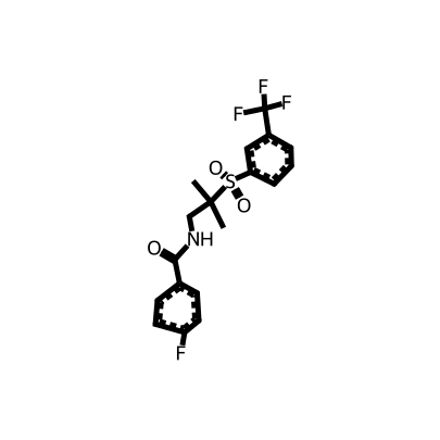 CC(C)(CNC(=O)c1ccc(F)cc1)S(=O)(=O)c1cccc(C(F)(F)F)c1